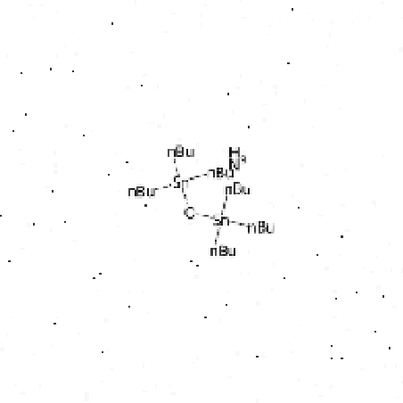 CCC[CH2][Sn]([CH2]CCC)([CH2]CCC)[O][Sn]([CH2]CCC)([CH2]CCC)[CH2]CCC.N